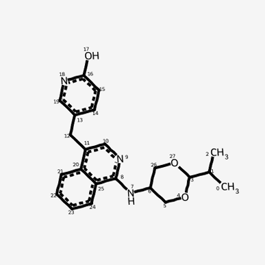 CC(C)C1OCC(Nc2ncc(Cc3ccc(O)nc3)c3ccccc23)CO1